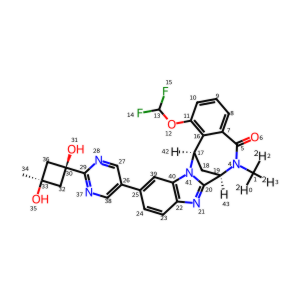 [2H]C([2H])([2H])N1C(=O)c2cccc(OC(F)F)c2[C@H]2C[C@@H]1c1nc3ccc(-c4cnc([C@]5(O)C[C@@](C)(O)C5)nc4)cc3n12